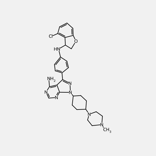 CN1CCN(C2CCC(n3nc(-c4ccc(NC5COc6cccc(Cl)c65)cc4)c4c(N)ncnc43)CC2)CC1